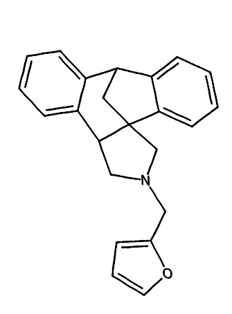 c1coc(CN2CC3c4ccccc4C4CC3(C2)c2ccccc24)c1